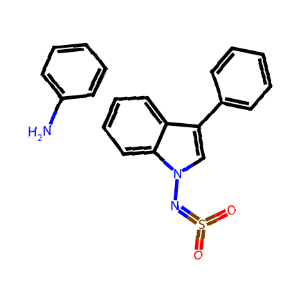 Nc1ccccc1.O=S(=O)=Nn1cc(-c2ccccc2)c2ccccc21